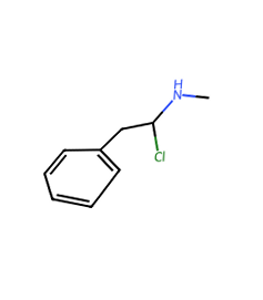 CNC(Cl)Cc1ccccc1